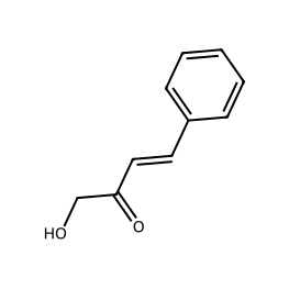 O=C(C=Cc1ccccc1)CO